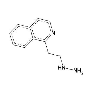 NNCCc1nccc2ccccc12